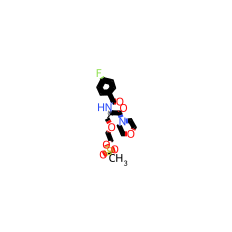 CS(=O)(=O)OCCOC[C@H](NC(=O)c1ccc(F)cc1)C(=O)N1CCOCC1